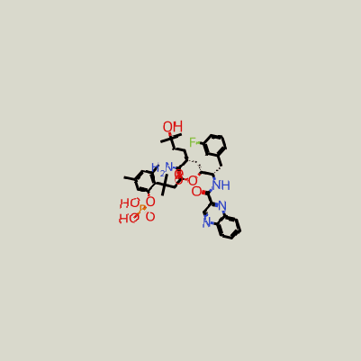 Cc1cc(C)c(C(C)(C)CC(=O)O[C@H](C[C@@H](CCC(C)(C)O)C(N)=O)[C@H](Cc2cccc(F)c2)NC(=O)c2cnc3ccccc3n2)c(OP(=O)(O)O)c1